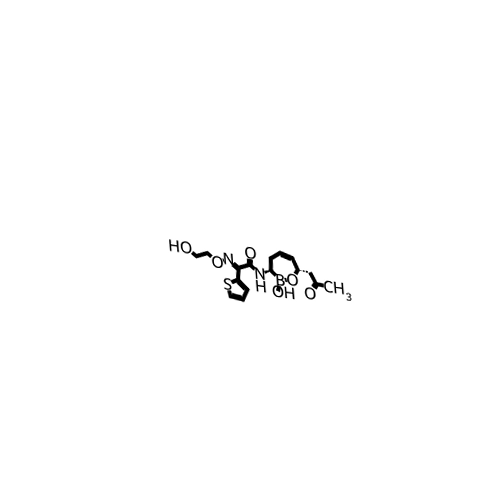 CC(=O)C[C@H]1C=CC[C@H](NC(=O)/C(=N/OCCO)c2cccs2)B(O)O1